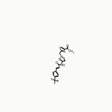 CC(=O)c1csc(Cn2ncc(NC(=O)/C=C/c3ccc(C(F)(F)F)cc3)n2)n1